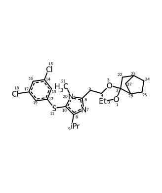 CCOC1(OCCc2nc(C(C)C)c(Sc3cc(Cl)cc(Cl)c3)n2C)CC2CCC1C2